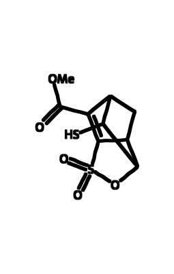 COC(=O)C1=C2C3CC1C(S)C3OS2(=O)=O